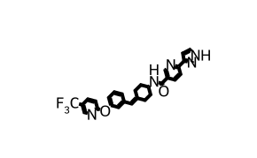 O=C(NC1CCC(=Cc2cccc(Oc3ccc(C(F)(F)F)cn3)c2)CC1)c1ccc(-c2cc[nH]n2)nc1